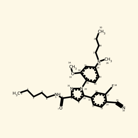 CCCCCNC(=O)c1cc(-c2ccc(C#N)c(F)c2)n(-c2ccc(N(C)CCCC)cc2OC)n1